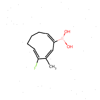 CC1=C/C(B(O)O)=C\CCC\C=C\1F